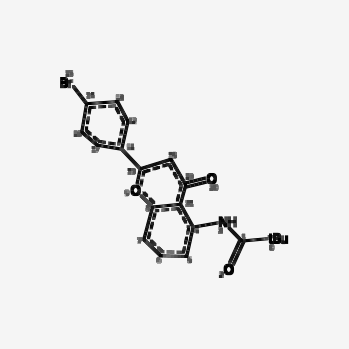 CC(C)(C)C(=O)Nc1cccc2oc(-c3ccc(Br)cc3)cc(=O)c12